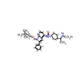 CC(NC(=O)O)[C@H]1CC[C@H](C(=O)Nc2ccnc3c2cc(-c2ccccc2)n3COCC[Si](C)(C)C)CC1